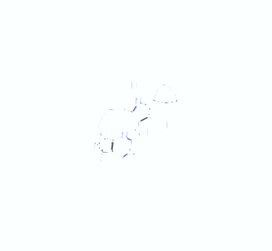 Cc1c2c(nn1C1CCOC[C@H]1C)OCCCn1nc(Cl)c3cnc(nc31)N2